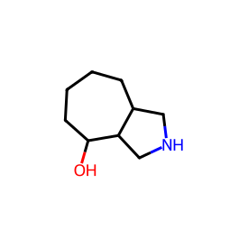 OC1CCCCC2CNCC12